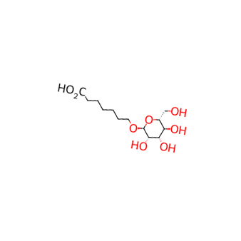 O=C(O)CCCCCCO[C@H]1O[C@H](CO)[C@@H](O)[C@H](O)[C@@H]1O